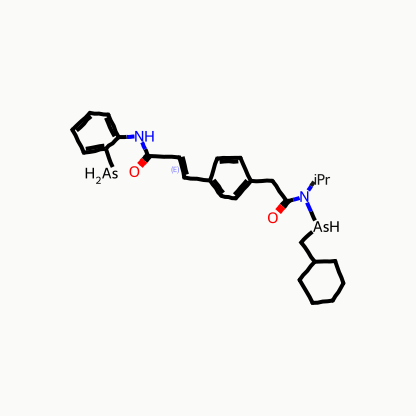 CC(C)N([AsH]CC1CCCCC1)C(=O)Cc1ccc(/C=C/C(=O)Nc2ccccc2[AsH2])cc1